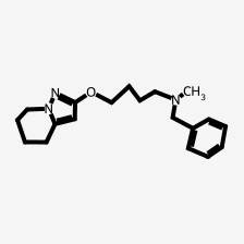 CN(CCCCOc1cc2n(n1)CCCC2)Cc1ccccc1